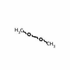 CCCCC[C@H]1CC[C@H](C=CC#CC=C[C@H]2CC[C@H](CCCCC)CC2)CC1